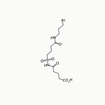 CC(=O)CCCNC(=O)CCCS(=O)(=O)NC(=O)CCCC(=O)O